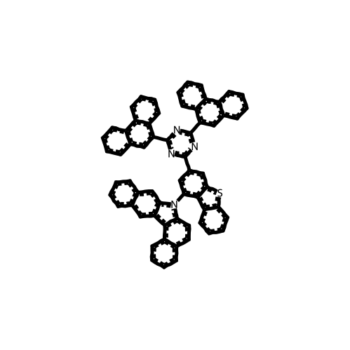 c1ccc2cc3c(cc2c1)c1c2ccccc2ccc1n3-c1cc(-c2nc(-c3cc4ccccc4c4ccccc34)nc(-c3cc4ccccc4c4ccccc34)n2)cc2sc3ccccc3c12